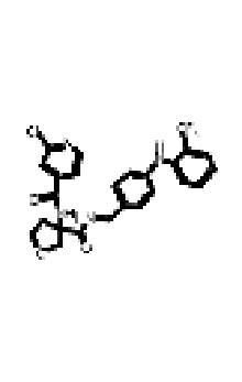 O=C(NC1(C(=O)NCc2ccc(Nc3ccccc3C(F)(F)F)cc2)CCOC1)c1ccnc(Cl)c1